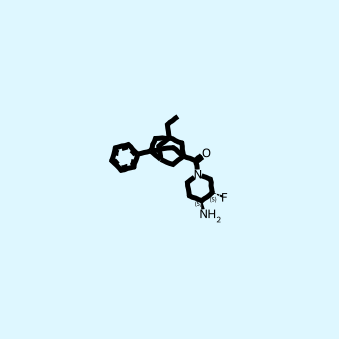 CCC12CC3CC(C(=O)N4CC[C@H](N)[C@@H](F)C4)(C1)CC3(c1ccccc1)C2